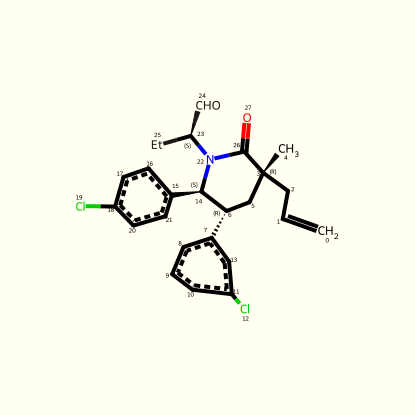 C=CC[C@]1(C)C[C@H](c2cccc(Cl)c2)[C@@H](c2ccc(Cl)cc2)N([C@H](C=O)CC)C1=O